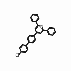 Clc1ccc(-c2ccc(-c3cc(-c4ccccc4)nc(-c4ccccc4)c3)cc2)cc1